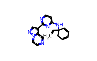 C=C[C@]1(Nc2ccnc(-c3cnn4ccncc34)n2)C=CC=CC1